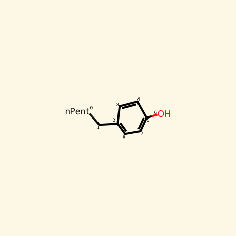 CCCCCCc1ccc(O)cc1